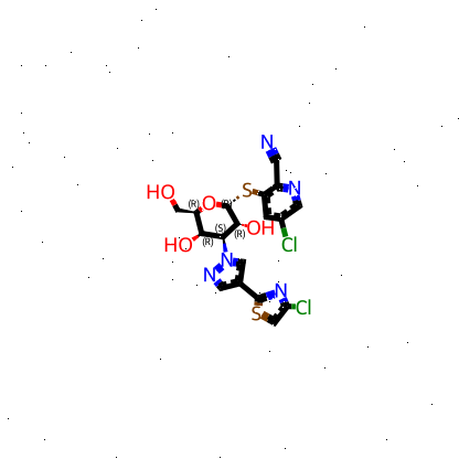 N#Cc1ncc(Cl)cc1S[C@H]1O[C@H](CO)[C@H](O)[C@H](n2cc(-c3nc(Cl)cs3)cn2)[C@H]1O